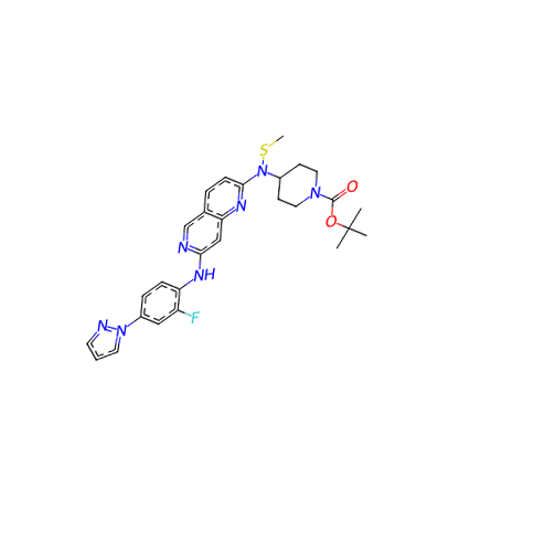 CSN(c1ccc2cnc(Nc3ccc(-n4cccn4)cc3F)cc2n1)C1CCN(C(=O)OC(C)(C)C)CC1